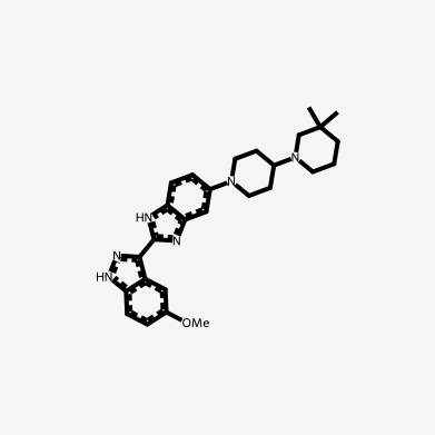 COc1ccc2[nH]nc(-c3nc4cc(N5CCC(N6CCCC(C)(C)C6)CC5)ccc4[nH]3)c2c1